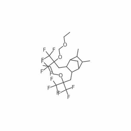 CCCOC(CC1C2CC(C(C)C2C)C1CC(OCOCC)(C(F)(F)F)C(F)(F)F)(C(F)(F)F)C(F)(F)F